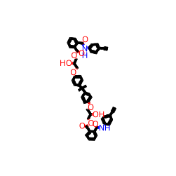 C#Cc1ccc(NC(=O)c2ccccc2C(=O)OCC(O)COc2ccc(C(C)(C)c3ccc(OCC(O)COC(=O)c4ccccc4C(=O)Nc4ccc(C#C)cc4)cc3)cc2)cc1